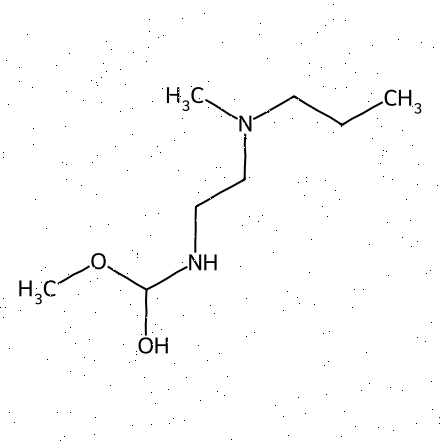 CCCN(C)CCNC(O)OC